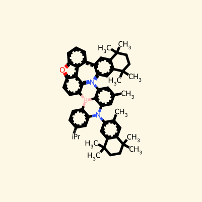 Cc1cc2c3c(c1)-n1c4cc5c(cc4c4cccc6oc7ccc(c1c7c64)B3c1ccc(C(C)C)cc1N2c1cc2c(cc1C)C(C)(C)CCC2(C)C)C(C)(C)CCC5(C)C